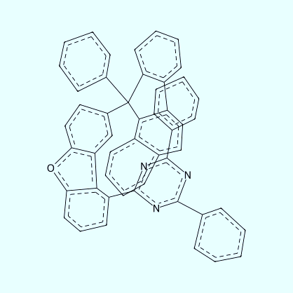 c1ccc(-c2nc(-c3ccccc3)nc(-c3cccc4oc5ccc(C6(c7ccccc7)c7ccccc7-c7ccc8ccccc8c76)cc5c34)n2)cc1